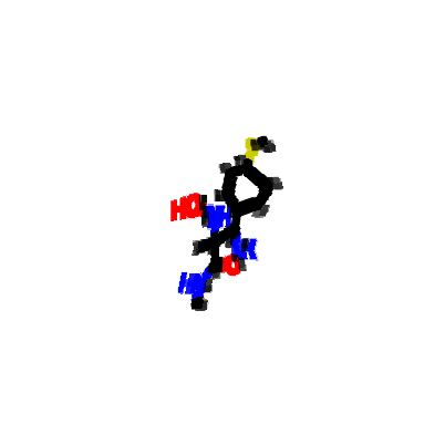 CNC(=O)C(C)(NO)C(=N)c1ccc(SC)cc1